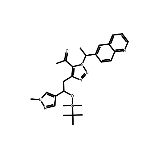 CC(=O)c1c(CC(O[Si](C)(C)C(C)(C)C)c2cnn(C)c2)nnn1C(C)c1ccc2ncccc2c1